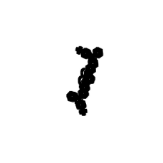 CC(C)(C)c1ccc(N(c2ccccc2)c2ccc3cc4c(cc3c2)oc2c4ccc3c4cc5ccc(N(c6ccccc6)c6ccc(C(C)(C)C)cc6)cc5cc4oc32)cc1